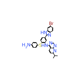 CC(C)c1ccc2c(Nc3cc(-c4nc5ccc(Br)cc5[nH]4)ccc3Sc3ccc(N)cc3)ncnc2n1